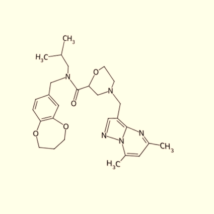 Cc1cc(C)n2ncc(CN3CCOC(C(=O)N(Cc4ccc5c(c4)OCCCO5)CC(C)C)C3)c2n1